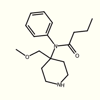 CCCC(=O)N(c1ccccc1)C1(COC)CCNCC1